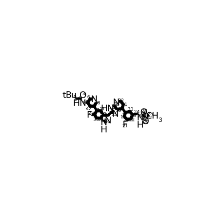 CC(C)(C)CC(=O)Nc1cncc(-c2cc3c(-c4nc5c(-c6cc(F)cc(CNS(C)(=O)=O)c6)ccnc5[nH]4)n[nH]c3cc2F)c1